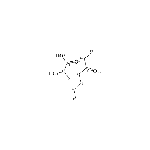 CC(O)C(=O)O.CCCCC(=O)CC